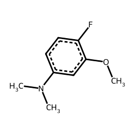 COc1cc(N(C)C)ccc1F